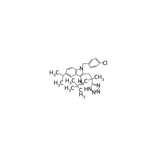 CC(C)c1ccc2c(c1)c(SC(C)(C)C)c(CC(C)(C)c1nnn[nH]1)n2Cc1ccc(Cl)cc1